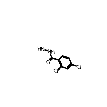 [NH]NC(=O)c1ccc(Cl)cc1Cl